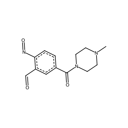 CN1CCN(C(=O)c2ccc(N=O)c(C=O)c2)CC1